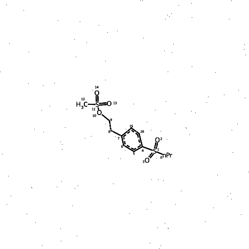 CCCS(=O)(=O)c1ccc(CCOS(C)(=O)=O)cc1